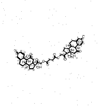 C[C@]12C=CC(=O)C=C1CC[C@@H]1[C@@H]2C(=O)C[C@@]2(C)[C@H]1CC[C@]2(O)C(=O)COC(=O)CCC(=O)OCC(=O)[C@@]1(O)CC[C@H]2[C@@H]3CCC4=CC(=O)C=C[C@]4(C)[C@H]3C(=O)C[C@@]21C